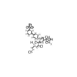 C=C(/C(Cl)=C\C=C/CCl)n1cc(C(C)(C)O)nc1-c1ccc(-c2cccc(S(=O)(=O)CC)c2)cc1